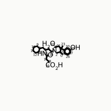 CC1CN(CCC(CC2CCCCC2)NC(=O)CCC(=O)O)CCC1(C)c1cccc(O)c1.O